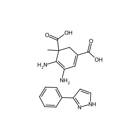 CC1(C(=O)O)CC(C(=O)O)=CC(N)=C1N.c1ccc(-c2cc[nH]n2)cc1